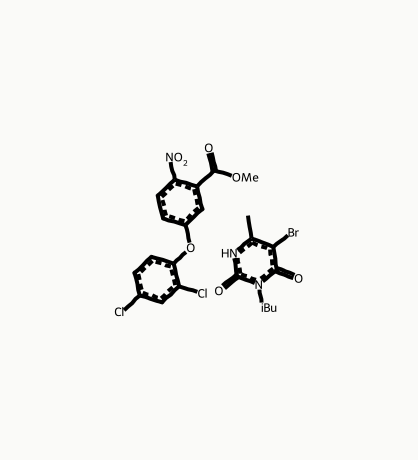 CCC(C)n1c(=O)[nH]c(C)c(Br)c1=O.COC(=O)c1cc(Oc2ccc(Cl)cc2Cl)ccc1[N+](=O)[O-]